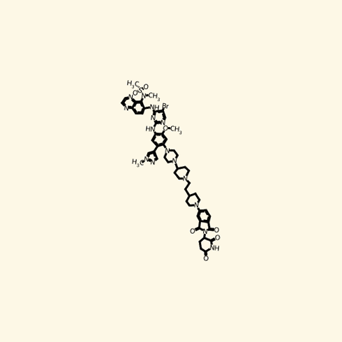 COc1cc(N2CCN(C3CCN(CCC4CCN(c5ccc6c(c5)C(=O)N(C5CCC(=O)NC5=O)C6=O)CC4)CC3)CC2)c(-c2cnn(C)c2)cc1Nc1ncc(Br)c(Nc2ccc3nccnc3c2N(C)S(C)(=O)=O)n1